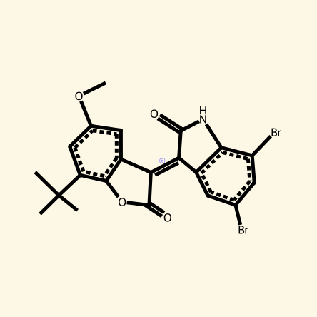 COc1cc2c(c(C(C)(C)C)c1)OC(=O)/C2=C1/C(=O)Nc2c(Br)cc(Br)cc21